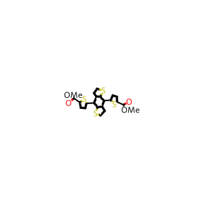 COC(=O)c1ccc(-c2c3ccsc3c(-c3ccc(C(=O)OC)s3)c3ccsc23)s1